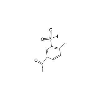 Cc1ccc(C(=O)I)cc1S(=O)(=O)I